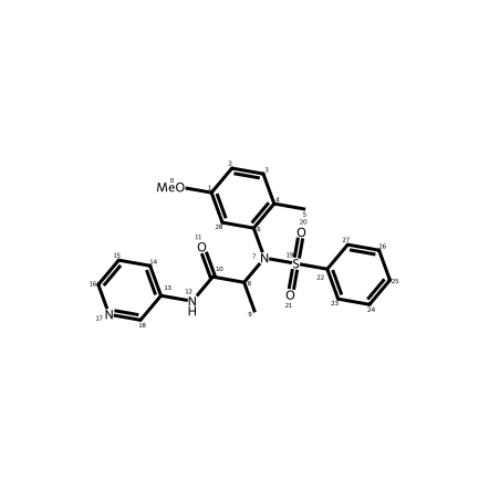 COc1ccc(C)c(N(C(C)C(=O)Nc2cccnc2)S(=O)(=O)c2ccccc2)c1